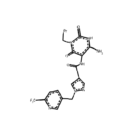 CC(C)Cn1c(=O)[nH]c(N)c(NC(=O)c2cnn(Cc3ccc(C(F)(F)F)nc3)c2)c1=O